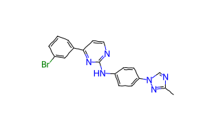 Cc1ncn(-c2ccc(Nc3nccc(-c4cccc(Br)c4)n3)cc2)n1